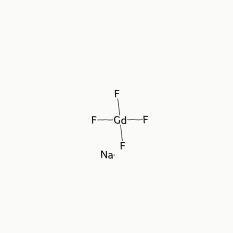 [F][Gd]([F])([F])[F].[Na]